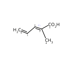 C=C/C=C(\C)C(=O)O